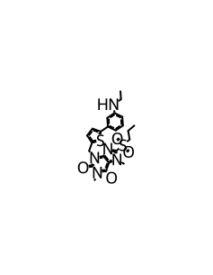 CCCS(=O)(=O)c1nc2c(c(=O)n(C)c(=O)n2Cc2ccc(-c3cccc(NCC)c3)s2)n1C